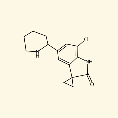 O=C1Nc2c(Cl)cc(C3CCCCN3)cc2C12CC2